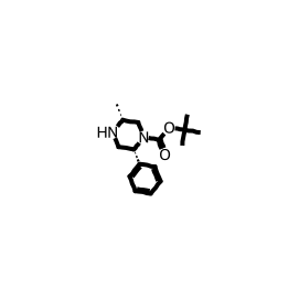 C[C@@H]1CN(C(=O)OC(C)(C)C)[C@H](c2ccccc2)CN1